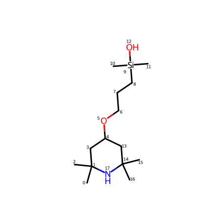 CC1(C)CC(OCCC[Si](C)(C)O)CC(C)(C)N1